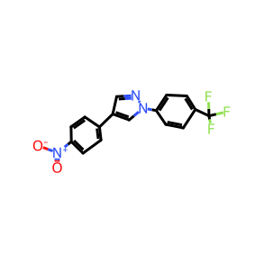 O=[N+]([O-])c1ccc(-c2cnn(-c3ccc(C(F)(F)F)cc3)c2)cc1